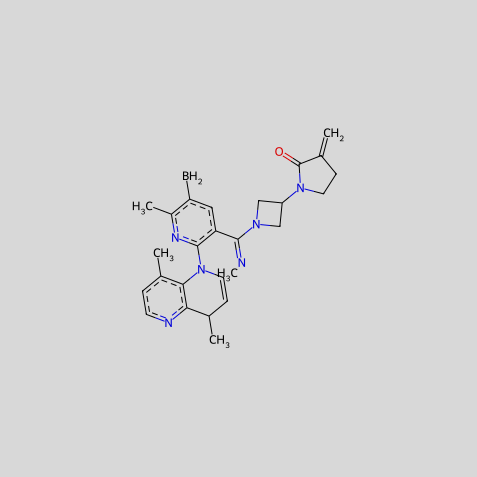 Bc1cc(/C(=N\C)N2CC(N3CCC(=C)C3=O)C2)c(N2C=CC(C)c3nccc(C)c32)nc1C